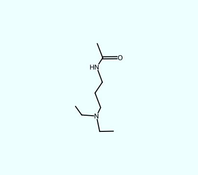 CCN(CC)CCCNC(C)=O